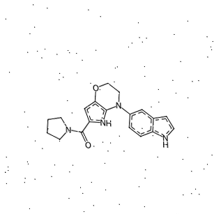 O=C(c1cc2c([nH]1)N(c1ccc3[nH]ccc3c1)CCO2)N1CCCC1